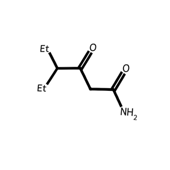 CCC(CC)C(=O)CC(N)=O